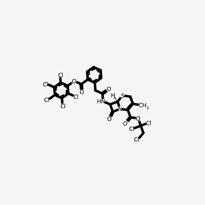 CC1=C(C(=O)OC(Cl)(Cl)CCl)N2C(=O)C(NC(=O)Cc3ccccc3C(=O)Oc3c(Cl)c(Cl)c(Cl)c(Cl)c3Cl)[C@H]2SC1